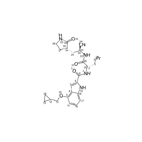 CC(C)C[C@H](NC(=O)c1cc2c(OCC3CC3)cccc2[nH]1)C(=O)N[C@H](C#N)C[C@@H]1CCNC1=O